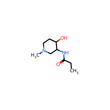 CCC(=O)NC1CN(C)CCC1O